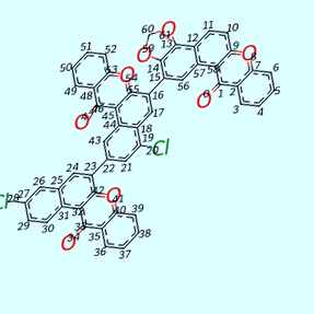 O=c1c2ccccc2oc2ccc3c4c(c(-c5cc6c(Cl)cc(-c7cc8cc(Cl)ccc8c8c(=O)c9ccccc9oc78)cc6c6c(=O)c7ccccc7oc56)cc3c12)OCO4